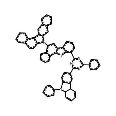 C1=CC2c3cc(-c4nc(-c5ccccc5)nc(-c5cccc6c5oc5c7ccccc7c(-n7c8cc9ccccc9cc8c8c9ccccc9ccc87)cc65)n4)ccc3N(c3ccccc3)C2C=C1